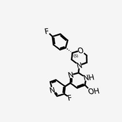 OC1=CC(c2ccncc2F)=NC(N2CCO[C@@H](c3ccc(F)cc3)C2)N1